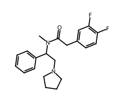 CN(C(=O)Cc1ccc(F)c(F)c1)C(CN1CCCC1)c1ccccc1